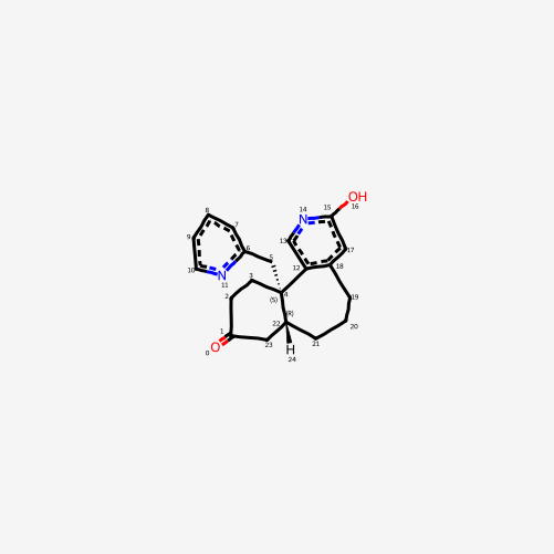 O=C1CC[C@@]2(Cc3ccccn3)c3cnc(O)cc3CCC[C@@H]2C1